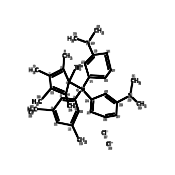 CC1=C(C)[C]([Ti+3])([Si](c2cc(C)cc(C)c2)(c2cccc(N(C)C)c2)c2cccc(N(C)C)c2)C(C)=C1C.[Cl-].[Cl-].[Cl-]